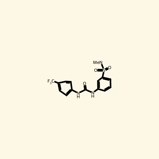 CNS(=O)(=O)c1cccc(NC(=O)Nc2ccc(C(F)(F)F)cc2)c1